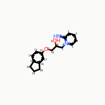 N=c1ccccn1CC(O)COc1ccc2c(c1)CCC2